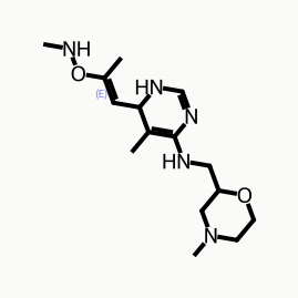 CNO/C(C)=C/C1NC=NC(NCC2CN(C)CCO2)=C1C